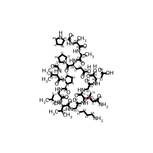 CC(C)C[C@H](NC(=O)[C@@H]1CCCN1C(=O)[C@@H](NC(=O)[C@@H]1CCCN1C(=O)[C@H](CCC(=O)O)NC(=O)[C@H](C)NC(=O)[C@H](C)NC(=O)[C@@H]1CCCN1)C(C)C)C(=O)N[C@H](C(=O)N[C@@H](CCCCN)C(=O)N[C@@H](CCC(N)=O)C(=O)N[C@@H](CC(=O)O)C(=O)N[C@@H](CC(=O)O)C(=O)O)C(C)C